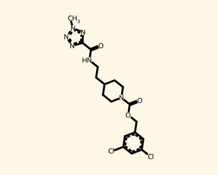 Cn1nnc(C(=O)NCCC2CCN(C(=O)OCc3cc(Cl)cc(Cl)c3)CC2)n1